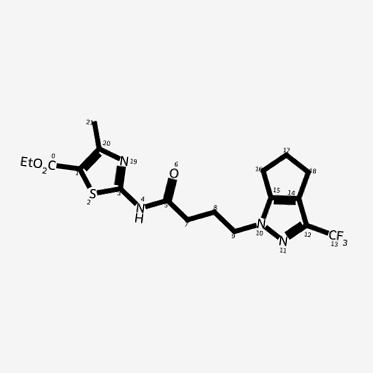 CCOC(=O)c1sc(NC(=O)CCCn2nc(C(F)(F)F)c3c2CCC3)nc1C